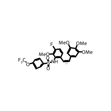 COc1cc(/C=C\c2ccc(F)c(OC)c2NS(=O)(=O)c2ccc(OC(F)(F)F)cc2)cc(OC)c1OC